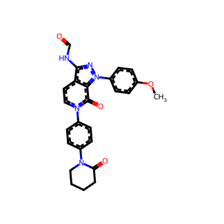 COc1ccc(-n2nc(NC=O)c3ccn(-c4ccc(N5CCCCC5=O)cc4)c(=O)c32)cc1